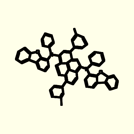 Cc1cccc(-c2ccc3c(N(c4ccccc4)c4cccc5c4oc4ccccc45)cc4c(-c5cccc(C)c5)cc(N(c5ccccc5)c5cccc6c5oc5ccccc56)c5ccc2c3c45)c1